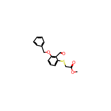 COC(=O)CSc1cccc(OCc2ccccc2)c1C=O